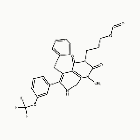 Cn1c2c(c(=O)n(CCCOC=O)c1=O)C(Cc1ccccc1)=C(c1cccc(OC(F)(F)F)c1)NC2